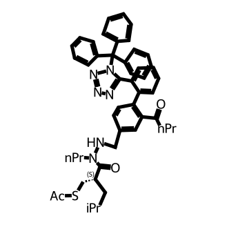 CCCC(=O)c1cc(CNN(CCC)C(=O)[C@@H](CSC(C)=O)CC(C)C)ccc1-c1ccccc1-c1nnnn1C(c1ccccc1)(c1ccccc1)c1ccccc1